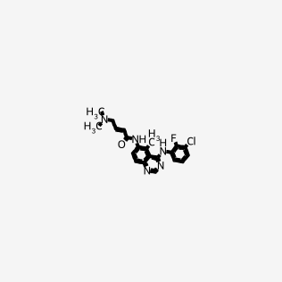 Cc1c(NC(=O)/C=C/CN(C)C)ccc2ncnc(Nc3cccc(Cl)c3F)c12